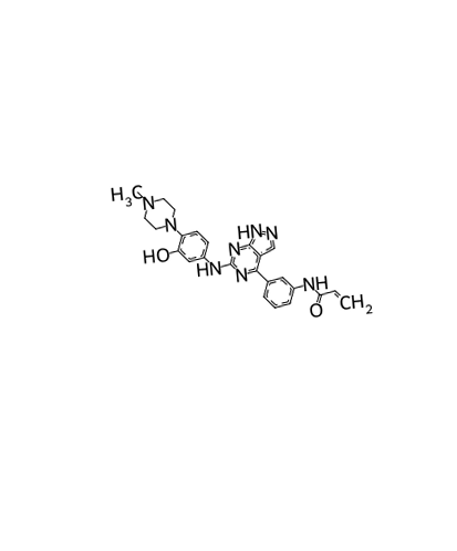 C=CC(=O)Nc1cccc(-c2nc(Nc3ccc(N4CCN(C)CC4)c(O)c3)nc3[nH]ncc23)c1